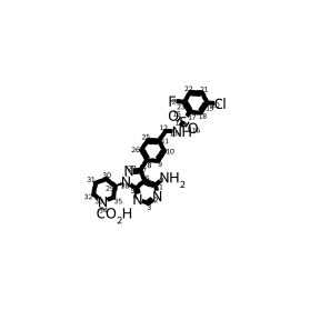 Nc1ncnc2c1c(-c1ccc(CNS(=O)(=O)c3cc(Cl)ccc3F)cc1)nn2[C@@H]1CCCN(C(=O)O)C1